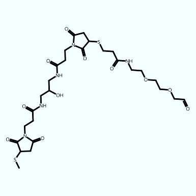 CSC1CC(=O)N(CCC(=O)NCC(O)CNC(=O)CCN2C(=O)CC(SCCC(=O)NCCOCCOCC=O)C2=O)C1=O